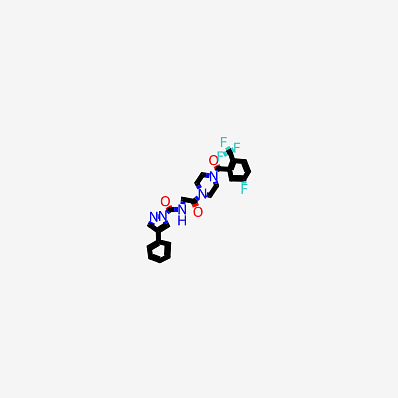 O=C(CNC(=O)n1cc(-c2ccccc2)cn1)N1CCN(C(=O)c2cc(F)ccc2C(F)(F)F)CC1